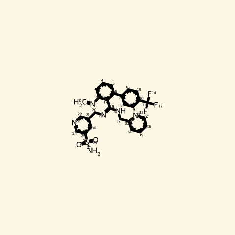 C=Nc1cccc(-c2ccc(C(F)(F)F)cc2)c1/C(=N\Cc1cncc(S(N)(=O)=O)c1)NCc1ccccn1